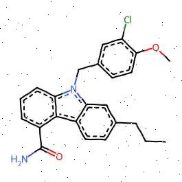 CCCc1c[c]c2c3c(C(N)=O)cccc3n(Cc3ccc(OC)c(Cl)c3)c2c1